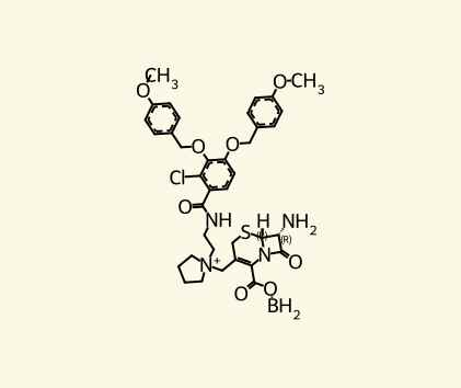 BOC(=O)C1=C(C[N+]2(CCNC(=O)c3ccc(OCc4ccc(OC)cc4)c(OCc4ccc(OC)cc4)c3Cl)CCCC2)CS[C@@H]2[C@H](N)C(=O)N12